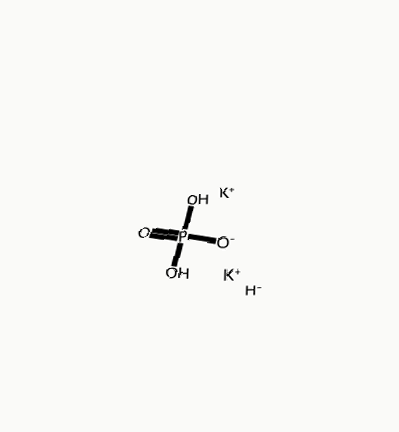 O=P([O-])(O)O.[H-].[K+].[K+]